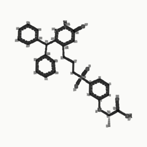 C[C@H](Oc1cccc(S(=O)(=O)CCCc2cc(=O)[nH]nc2C(c2ccccc2)c2ccccc2)c1)C(=O)O